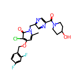 Cc1cc(OCc2ccc(F)cc2F)c(Cl)c(=O)n1Cc1cnc(C(=O)N2CCC(O)CC2)cn1